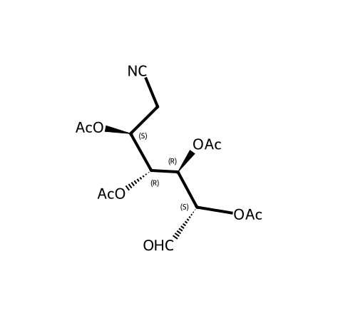 CC(=O)O[C@H]([C@H](OC(C)=O)[C@H](CC#N)OC(C)=O)[C@@H](C=O)OC(C)=O